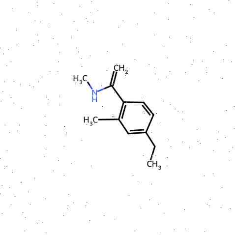 C=C(NC)c1ccc(CC)cc1C